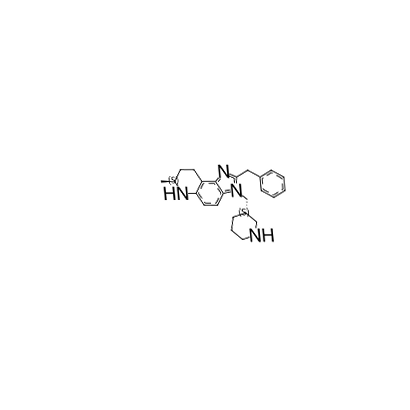 C[C@H]1CCc2c(ccc3c2nc(Cc2ccccc2)n3C[C@H]2CCCNC2)N1